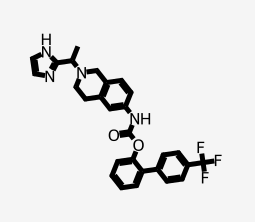 CC(c1ncc[nH]1)N1CCc2cc(NC(=O)Oc3ccccc3-c3ccc(C(F)(F)F)cc3)ccc2C1